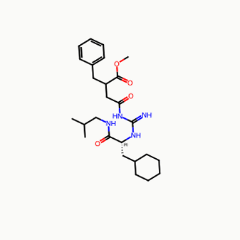 COC(=O)C(CC(=O)NC(=N)N[C@H](CC1CCCCC1)C(=O)NCC(C)C)Cc1ccccc1